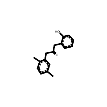 Cc1ccc(C)c(CC(=O)Cc2ccccc2O)c1